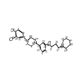 Clc1ccc(N2CCN(c3cccc(OCCCN4CCCCC4)c3)CC2)cc1Cl